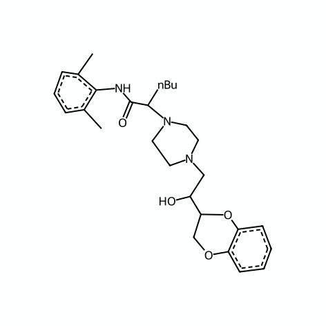 CCCCC(C(=O)Nc1c(C)cccc1C)N1CCN(CC(O)C2COc3ccccc3O2)CC1